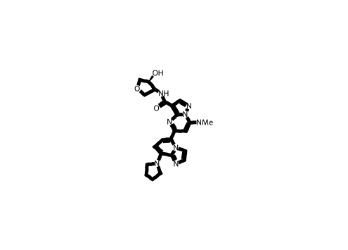 CNc1cc(-c2ccc(N3CCCC3)c3nccn23)nc2c(C(=O)NC3COC[C@H]3O)cnn12